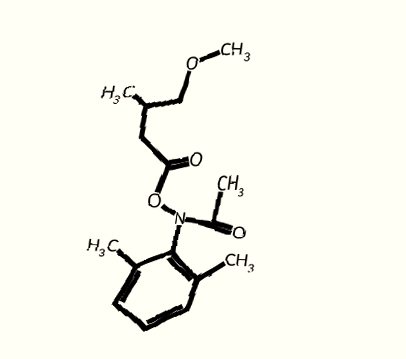 COCC(C)CC(=O)ON(C(C)=O)c1c(C)cccc1C